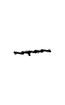 C=CC(=O)OCCCCOc1ccc(/C=C/C(=O)Oc2ccc(/C=N/N=C/c3ccc(OC(=O)/C=C/c4ccc(OCCCCOC(=O)C=C)cc4)c(OCC)c3)cc2)cc1